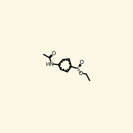 CCO[S@@](=O)c1ccc(NC(C)=O)cc1